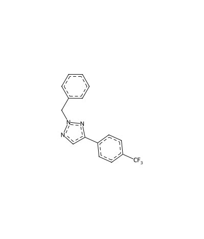 FC(F)(F)c1ccc(-c2cnn(Cc3ccccc3)n2)cc1